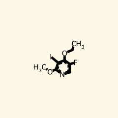 CCOc1c(F)cnc(OC)c1I